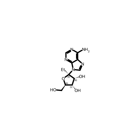 CC[C@@]1(n2cnc3c(N)ncnc32)O[C@H](CO)[C@@H](O)[C@H]1O